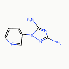 Nc1nc(N)n(-c2cccnc2)n1